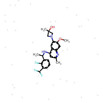 COc1cc2nc(C)cc(NC(C)c3cccc(C(F)F)c3F)c2cc1N1CC(C)(O)C1